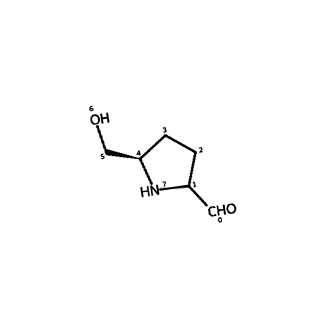 O=CC1CC[C@H](CO)N1